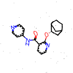 O=C(Nc1ccncc1)c1cccnc1O[C@H]1CC2CCC1C2